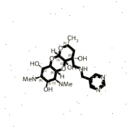 CN[C@@H]1[C@H](O)[C@H](NC)[C@H]2O[C@]3(O)[C@H](OC2[C@H]1O)O[C@H](C)C[C@@]3(O)CNCc1cncnc1